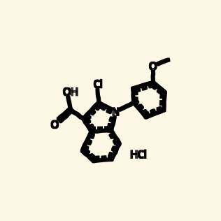 COc1cccc(-n2c(Cl)c(C(=O)O)c3ccccc32)c1.Cl